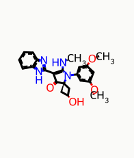 CNC1=C(c2nc3ccccc3[nH]2)C(=O)[C@]2(C[C@H](O)C2)N1c1cc(OC)cc(OC)c1